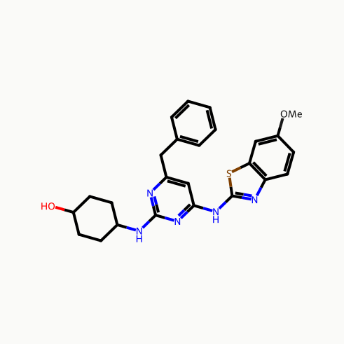 COc1ccc2nc(Nc3cc(Cc4ccccc4)nc(NC4CCC(O)CC4)n3)sc2c1